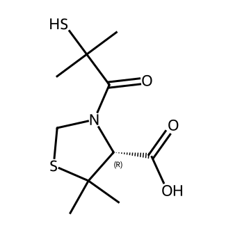 CC(C)(S)C(=O)N1CSC(C)(C)[C@H]1C(=O)O